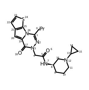 CC(C)c1nn(CC(=O)N[C@@H]2CCCN(C3CC3)C2)c(=O)c2cc3ccsc3n12